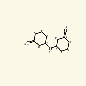 O=C1CCCC(OC2CCCC(=O)C2)C1